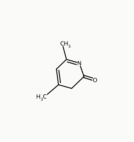 CC1=CC(C)=NC(=O)C1